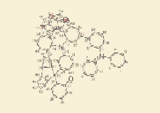 c1ccc(N(c2ccccc2)c2cccc(-c3cc(N(c4ccc5c(c4)C4(c6ccccc6O5)c5ccccc5-c5ccccc54)c4cccc5sc6ccccc6c45)c4c(c3)oc3ccccc34)c2)cc1